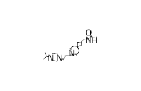 CC(=O)NCC1CC2(CCN(CCCN3CCN(C(C)C)CC3)CC2)C1